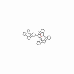 O=c1c2ccccc2c2cccc3c4cc(-c5cc(-n6c7ccccc7c7ccc8c9ccccc9n(-c9ccccc9)c8c76)cc6c5sc5ccccc56)ccc4n1c23